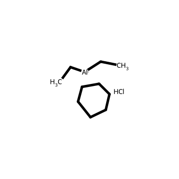 C1CCCCC1.C[CH2][Al][CH2]C.Cl